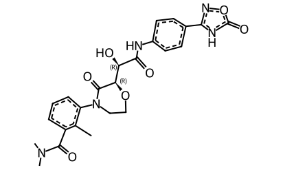 Cc1c(C(=O)N(C)C)cccc1N1CCO[C@H]([C@@H](O)C(=O)Nc2ccc(-c3noc(=O)[nH]3)cc2)C1=O